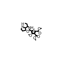 CCC(NC(=O)c1sc(C(=O)OC)c(C(=O)OC)c1OC)C1CCCN1